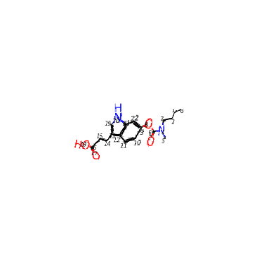 CCCCN(C)C(=O)Oc1ccc2c(CCC(=O)O)c[nH]c2c1